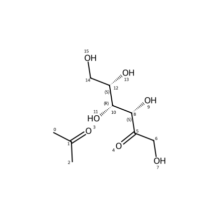 CC(C)=O.O=C(CO)[C@@H](O)[C@H](O)[C@@H](O)CO